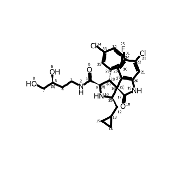 O=C(NCC[C@H](O)CO)[C@@H]1N[C@H](CC2CC2)[C@]2(C(=O)Nc3cc(Cl)c(F)cc32)[C@H]1c1cccc(Cl)c1